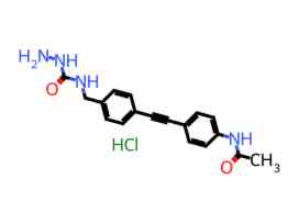 CC(=O)Nc1ccc(C#Cc2ccc(CNC(=O)NN)cc2)cc1.Cl